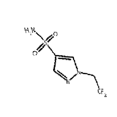 NS(=O)(=O)c1cnn(CC(F)(F)F)c1